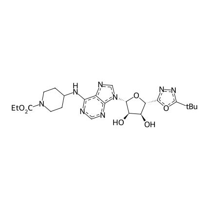 CCOC(=O)N1CCC(Nc2ncnc3c2ncn3[C@@H]2O[C@H](c3nnc(C(C)(C)C)o3)[C@@H](O)[C@H]2O)CC1